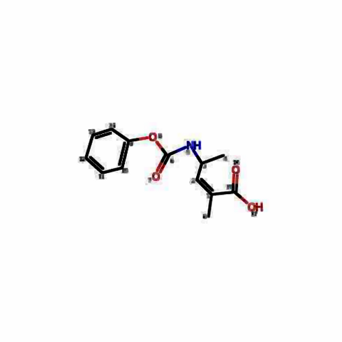 CC(=CC(C)NC(=O)Oc1ccccc1)C(=O)O